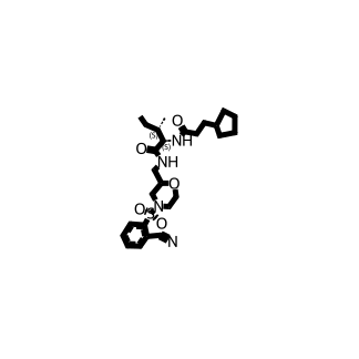 CC[C@H](C)[C@H](NC(=O)CCC1CCCC1)C(=O)NCC1CN(S(=O)(=O)c2ccccc2C#N)CCO1